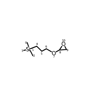 C[Si](C)(C)CCCOC1CO1